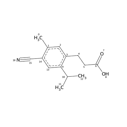 Cc1cc(CCC(=O)O)c(C(C)C)cc1C#N